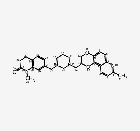 Cc1ccc2c3c(ccc2n1)OC[C@H](CN1CCCC(Cc2ccc4c(c2)N(C)C(=O)CC4)C1)O3